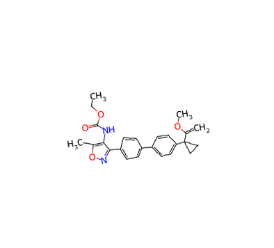 C=C(OC)C1(c2ccc(-c3ccc(-c4noc(C)c4NC(=O)OCC)cc3)cc2)CC1